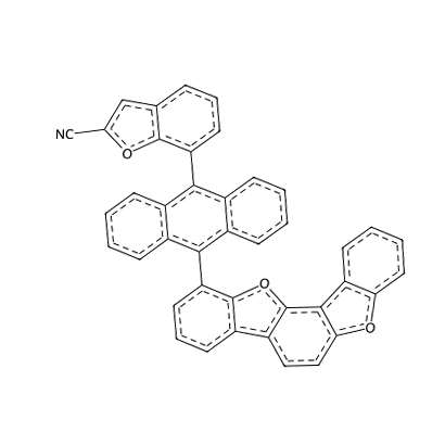 N#Cc1cc2cccc(-c3c4ccccc4c(-c4cccc5c4oc4c5ccc5oc6ccccc6c54)c4ccccc34)c2o1